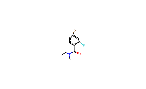 CCN(C)C(=O)c1ccc(Br)cc1F